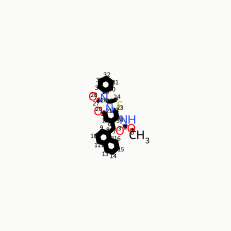 COC(=O)Nc1c(Cc2cccc3ccccc23)cc(=O)n2c1SC[C@@H]2N(C=O)c1ccccc1